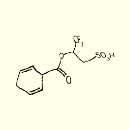 O=C(OC(CS(=O)(=O)O)C(F)(F)F)C1C=CCC=C1